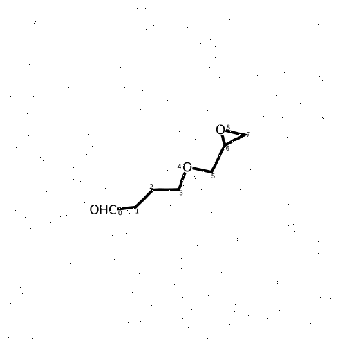 O=CCCCOCC1CO1